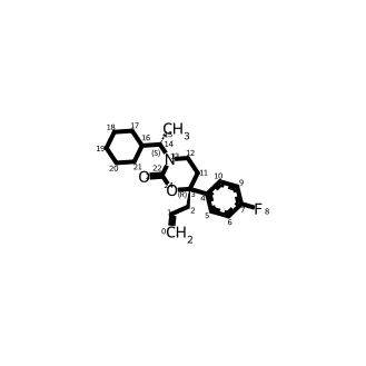 C=CC[C@]1(c2ccc(F)cc2)CCN([C@@H](C)C2CCCCC2)C(=O)O1